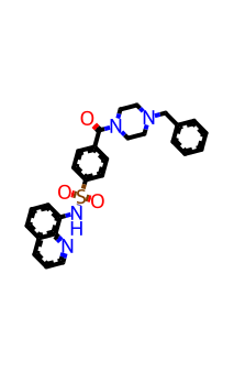 O=C(c1ccc(S(=O)(=O)Nc2cccc3cccnc23)cc1)N1CCN(Cc2ccccc2)CC1